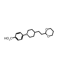 O=C(O)c1ccc(N2CCC(CCC3OCCCO3)CC2)cc1